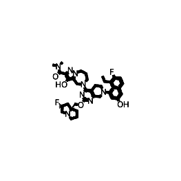 CCc1c(F)ccc2cc(O)cc(N3CCc4c(nc(OC[C@@]56CCCN5C[C@H](F)C6)nc4N4CCCn5nc(C(=O)N(C)C)c(O)c5C4)C3)c12